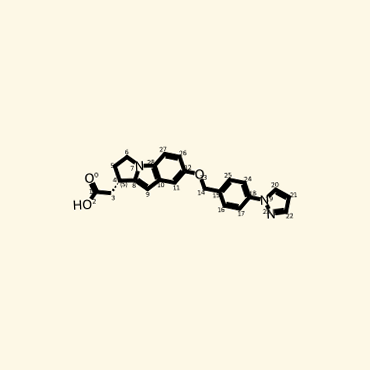 O=C(O)C[C@@H]1CCn2c1cc1cc(OCc3ccc(-n4cccn4)cc3)ccc12